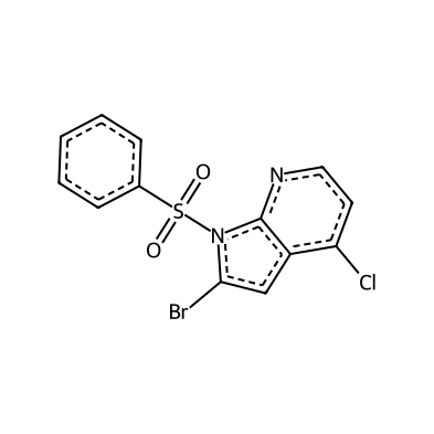 O=S(=O)(c1ccccc1)n1c(Br)cc2c(Cl)ccnc21